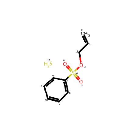 C=CCOS(=O)(=O)c1ccccc1.S